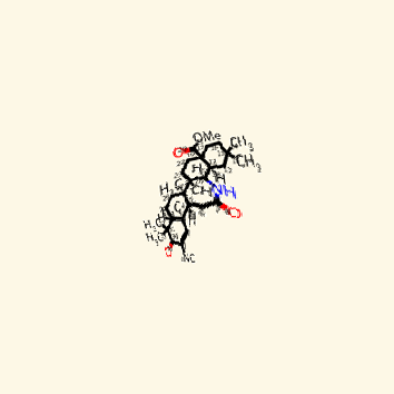 [C-]#[N+]C1=C[C@]2(C)[C@H]3CC(=O)N[C@@H]4[C@@H]5CC(C)(C)CCC5(C(=O)OC)CC[C@@]4(C)[C@]3(C)CC[C@H]2C(C)(C)C1=O